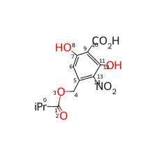 CC(C)C(=O)OCc1cc(O)c(C(=O)O)c(O)c1[N+](=O)[O-]